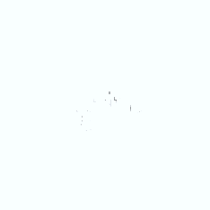 CC(NC(=O)OCc1ccccc1)C(=O)Oc1c[nH]c2ccccc12